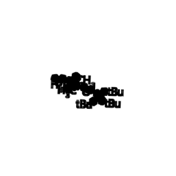 Cc1ccccc1N1c2cc(-c3ccc4c(c3)oc3ccccc34)cc3c2B(c2cc(-c4ccc5c(c4)oc4cc(-c6cc7c8c(c6)N(c6ccc(C(C)(C)C)cc6)c6ccc(C(C)(C)C)cc6B8c6cc(C(C)(C)C)ccc6-7)ccc45)cc(C)c21)c1c(C)cccc1-3